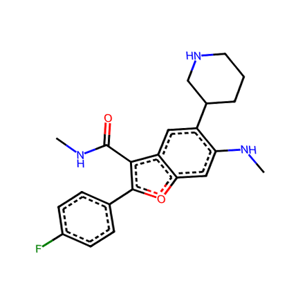 CNC(=O)c1c(-c2ccc(F)cc2)oc2cc(NC)c(C3CCCNC3)cc12